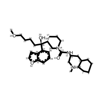 CNCC(CC1CCCCC1)NC(=O)N1CCC[C@@H]([C@@](O)(CCCCOC)c2cccc3occc23)C1